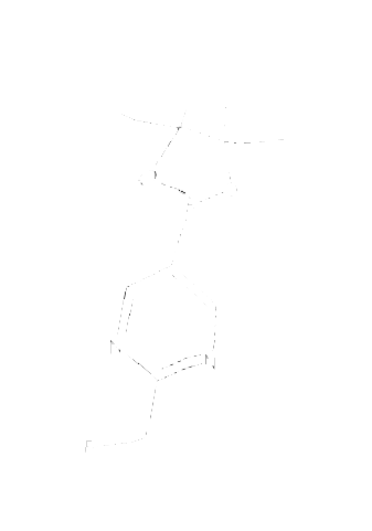 CC1(C)OB(c2cnc(CF)nc2)OC1(C)C